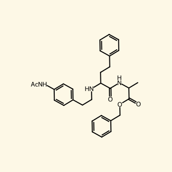 CC(=O)Nc1ccc(CCNC(CCc2ccccc2)C(=O)NC(C)C(=O)OCc2ccccc2)cc1